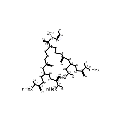 C=C(CCCN(CCCC(=C)CC(CCC(=C)C(C)CCCCCC)CC(C)CCCCCC)C(=C)N(/C=C\C)CC)CC(CCC(=C)C(C)CCCCCC)CCC(=C)C(C)CCCCCC